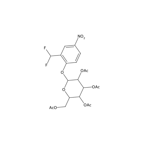 CC(=O)OCC1OC(Oc2ccc([N+](=O)[O-])cc2C(F)F)C(OC(C)=O)C(OC(C)=O)C1OC(C)=O